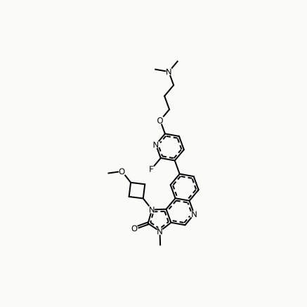 COC1CC(n2c(=O)n(C)c3cnc4ccc(-c5ccc(OCCCN(C)C)nc5F)cc4c32)C1